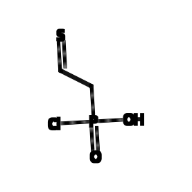 O=P(O)(Cl)CC=S